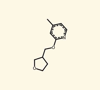 Cc1ccnc(OCC2CCOC2)c1